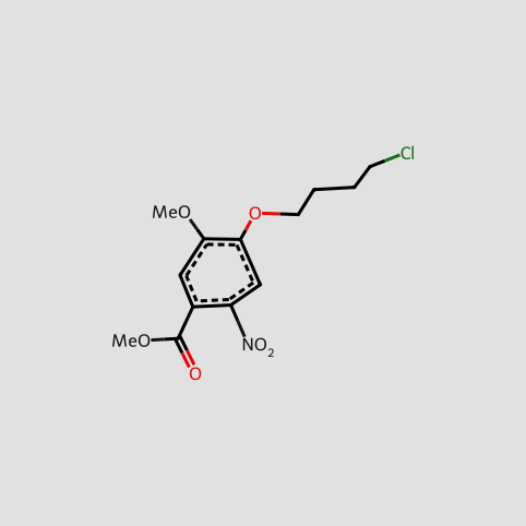 COC(=O)c1cc(OC)c(OCCCCCl)cc1[N+](=O)[O-]